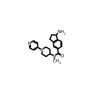 CN(C(=O)c1ccc2c(c1)CCC2N)C1CCN(c2ccncc2)CC1